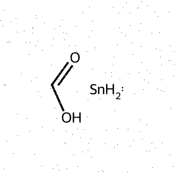 O=CO.[SnH2]